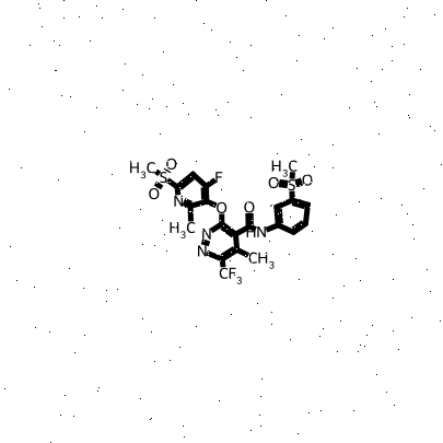 Cc1nc(S(C)(=O)=O)cc(F)c1Oc1nnc(C(F)(F)F)c(C)c1C(=O)Nc1cccc(S(C)(=O)=O)c1